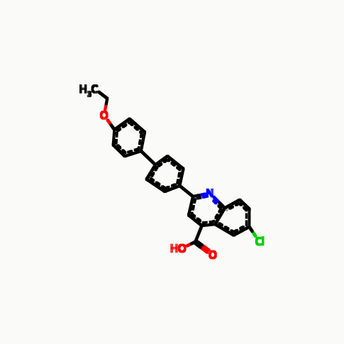 CCOc1ccc(-c2ccc(-c3cc(C(=O)O)c4cc(Cl)ccc4n3)cc2)cc1